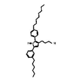 CCCCCCCCc1ccc(C2=C(CCCC)C=C(c3cccc(CCCCCC)c3)[N+]2=[N-])cc1.[Ni]